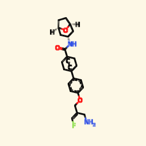 NC/C(=C\F)COc1ccc(C23CCC(C(=O)N[C@@H]4C[C@H]5CC[C@@H](C4)O5)(CC2)CC3)cc1